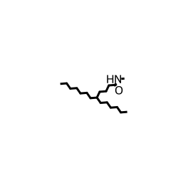 CCCCCCCC(CCCCCC)CCCC(=O)NC